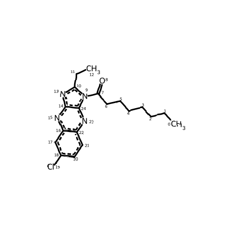 CCCCCCCC(=O)n1c(CC)nc2nc3cc(Cl)ccc3nc21